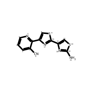 N#Cc1cccnc1-c1csc(-c2csc(N)n2)n1